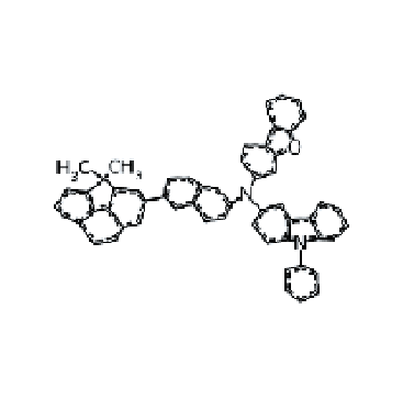 CC1(C)c2cccc3ccc4cc(-c5ccc6cc(N(c7ccc8c(c7)oc7ccccc78)c7ccc8c(c7)c7ccccc7n8-c7ccccc7)ccc6c5)cc1c4c23